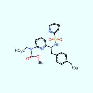 CC(C)(C)Cc1ccc(CC(NS(=O)(=O)c2ccccn2)c2cccc(N(CC(=O)O)C(=O)OC(C)(C)C)n2)cc1